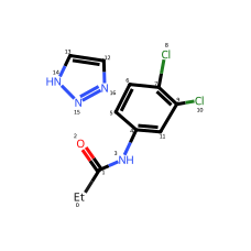 CCC(=O)Nc1ccc(Cl)c(Cl)c1.c1c[nH]nn1